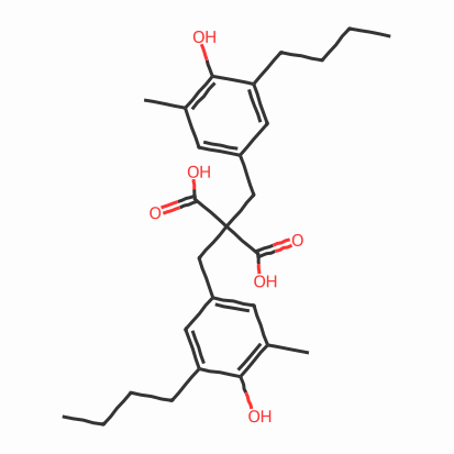 CCCCc1cc(CC(Cc2cc(C)c(O)c(CCCC)c2)(C(=O)O)C(=O)O)cc(C)c1O